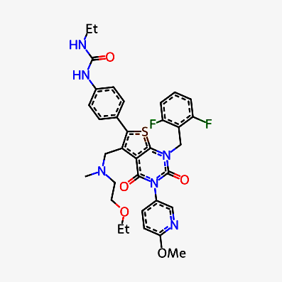 CCNC(=O)Nc1ccc(-c2sc3c(c2CN(C)CCOCC)c(=O)n(-c2ccc(OC)nc2)c(=O)n3Cc2c(F)cccc2F)cc1